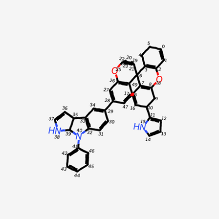 C1=CC2=C(CC1)C1(C3=C(CC(c4ccc[nH]4)C=C3)O2)c2ccccc2Oc2cc(-c3ccc4c(c3)C3C=CNC3N4c3ccccc3)ccc21